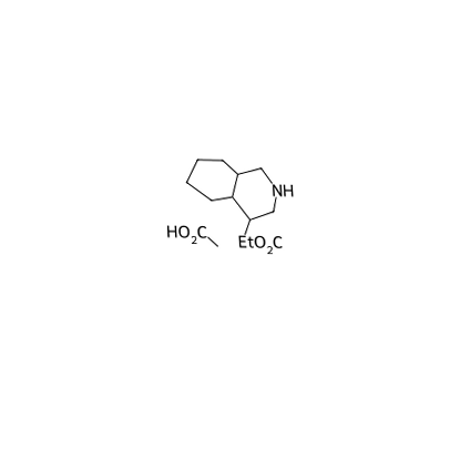 CC(=O)O.CCOC(=O)C1CNCC2CCCCC21